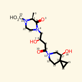 C[C@H]1C(=O)N(C[C@H](O)CC(=O)N2CCC3(CC3)[C@H](O)C2)CCN1C(=O)O